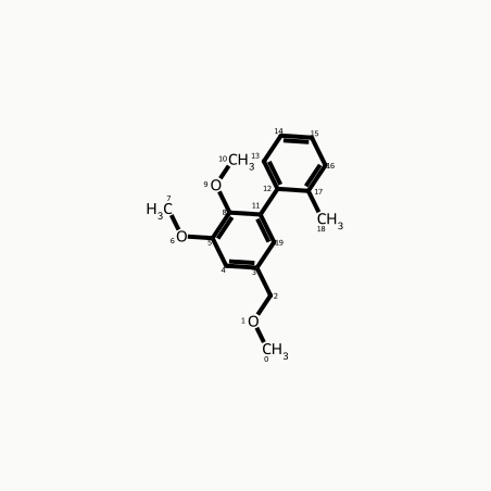 COCc1cc(OC)c(OC)c(-c2ccccc2C)c1